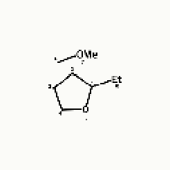 CCC1CCCO1.COC